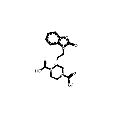 O=C(O)N1CCN(C(=O)O)[C@H](CCn2c(=O)oc3ccccc32)C1